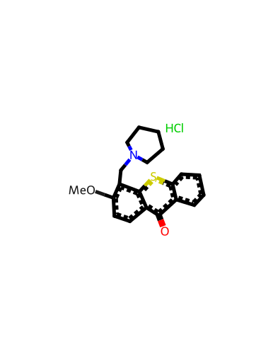 COc1ccc2c(=O)c3ccccc3sc2c1CN1CCCCC1.Cl